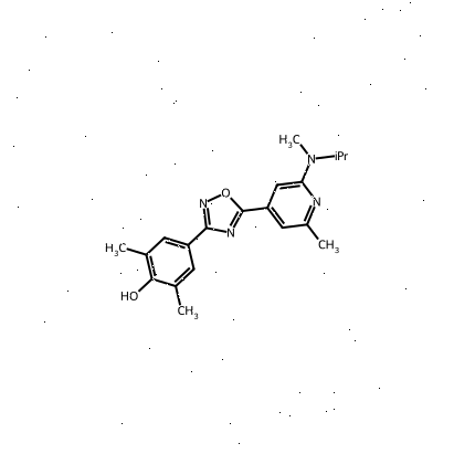 Cc1cc(-c2nc(-c3cc(C)c(O)c(C)c3)no2)cc(N(C)C(C)C)n1